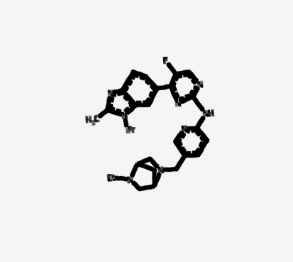 CCN1CC2CC1CN2Cc1ccc(Nc2ncc(F)c(-c3ccc4nc(C)n(C(C)C)c4c3)n2)nc1